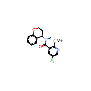 COc1ncc(Cl)cc1C(=O)N(C)C1CCOc2ccccc21